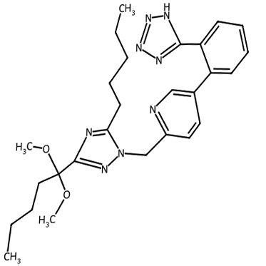 CCCCCc1nc(C(CCCC)(OC)OC)nn1Cc1ccc(-c2ccccc2-c2nnn[nH]2)cn1